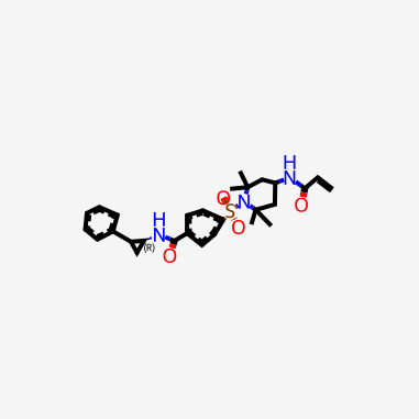 C=CC(=O)NC1CC(C)(C)N(S(=O)(=O)c2ccc(C(=O)N[C@@H]3CC3c3ccccc3)cc2)C(C)(C)C1